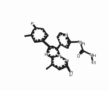 CCNC(=O)Nc1cc(-c2c(-c3ccc(F)c(C)c3)nc3c(C)cc(Cl)nn23)ccn1